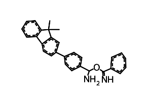 CC1(C)c2ccccc2-c2ccc(-c3ccc(C(N)OC(=N)c4ccccc4)cc3)cc21